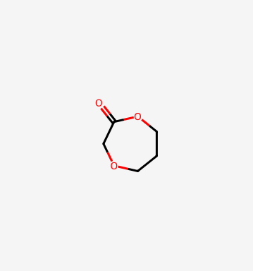 O=C1COCCCO1